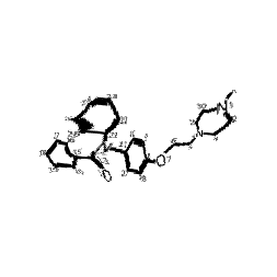 CN1CCN(CCOc2ccc(N(C(=O)c3ccccc3)c3ccccc3)cc2)CC1